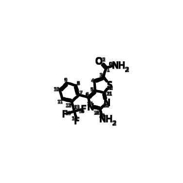 NC(=O)c1cc2c(-c3ccccc3C(F)(F)F)nc(N)nc2s1